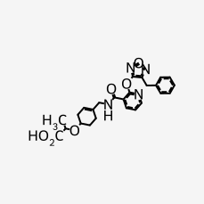 CC(OC1CC=C(CNC(=O)c2cccnc2Oc2nonc2Cc2ccccc2)CC1)C(=O)O